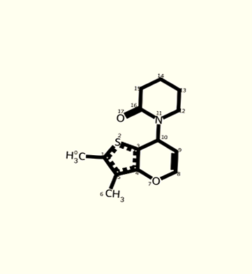 Cc1sc2c(c1C)OC=CC2N1CCCCC1=O